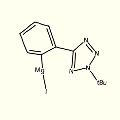 CC(C)(C)n1nnc(-c2cccc[c]2[Mg][I])n1